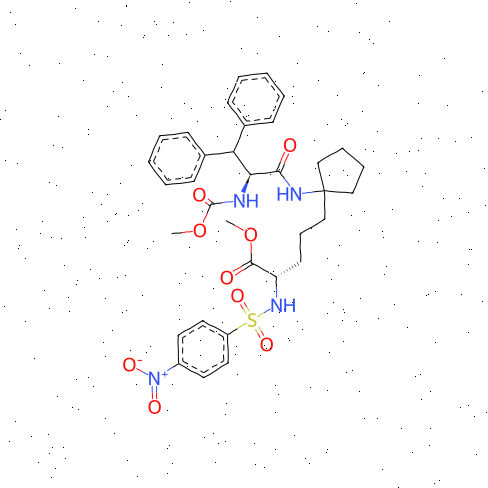 COC(=O)N[C@H](C(=O)NC1(CCC[C@H](NS(=O)(=O)c2ccc([N+](=O)[O-])cc2)C(=O)OC)CCCC1)C(c1ccccc1)c1ccccc1